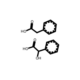 O=C(O)C(O)c1ccccc1.O=C(O)Cc1ccccc1